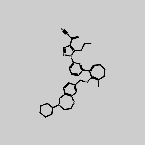 C=C(C#N)c1cnn(-c2cccc(C3=CCCCC(C)=C3OCc3ccc4c(c3)OCCN(C3CCCCC3)C4)n2)c1CCC